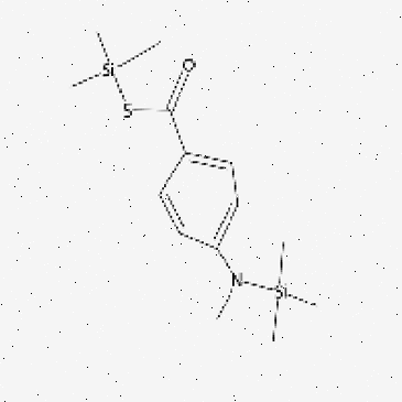 CN(c1ccc(C(=O)S[Si](C)(C)C)cc1)[Si](C)(C)C